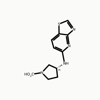 O=C(O)N1CC[C@@H](Nc2ccc3scnc3n2)C1